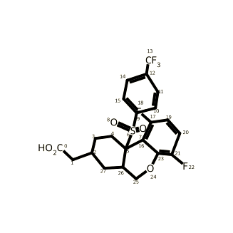 O=C(O)CC1CCC2(S(=O)(=O)c3ccc(C(F)(F)F)cc3)c3c(F)ccc(F)c3OCC2C1